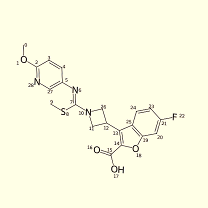 COc1ccc(N=C(SC)N2CC(c3c(C(=O)O)oc4cc(F)ccc34)C2)cn1